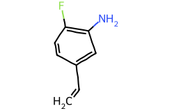 C=Cc1ccc(F)c(N)c1